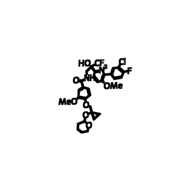 COc1cc(C(=O)NCC(O)(c2ccc(OC)c(-c3ccc(F)c(Cl)c3)n2)C(F)(F)F)ccc1OCC1(OC2CCCCO2)CC1